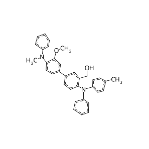 COc1cc(-c2ccc(N(c3ccccc3)c3ccc(C)cc3)c(CO)c2)ccc1N(C)c1ccccc1